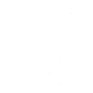 COS(=O)(=O)[O-].C[N+]1(CCCNc2nn3ccccc3c2[N+](=O)[O-])CCCCC1